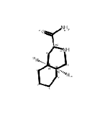 NC(=O)[C@@H]1C[C@@H]2CCCC[C@@H]2CN1